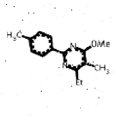 CCc1nc(-c2ccc(C)cc2)nc(OC)c1C